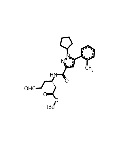 CC(C)(C)OC(=O)C[C@H](CCC=O)NC(=O)c1cc(-c2ccccc2C(F)(F)F)n(C2CCCC2)n1